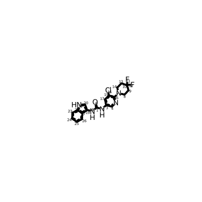 O=C(Nc1cnc(N2CCC(F)(F)CC2)c(Cl)c1)Nc1c[nH]c2ccccc12